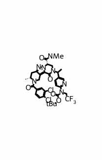 CNC(=O)[C@@H]1CN(C(C)c2ccc(N(CC(F)(F)F)C(=O)OC(C)(C)C)nc2)C(=O)c2c3c(nn21)C[C@@H](C)N(C(=O)c1ccc(Cl)c(Cl)c1)C3